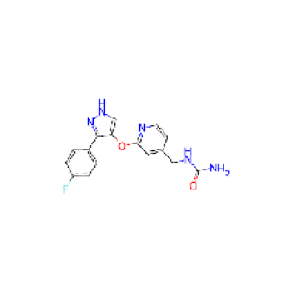 NC(=O)NCc1ccnc(Oc2c[nH]nc2-c2ccc(F)cc2)c1